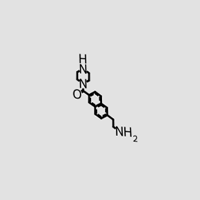 NCCc1ccc2cc(C(=O)N3CCNCC3)ccc2c1